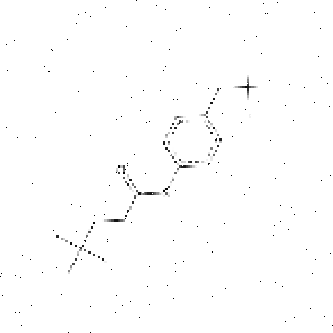 CC(C)(C)CCC(=O)Sc1ccc(CC(C)(C)C)cc1